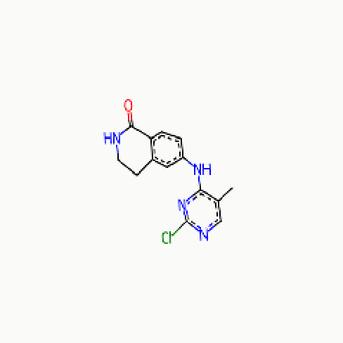 Cc1cnc(Cl)nc1Nc1ccc2c(c1)CCNC2=O